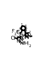 Cn1cc(-c2ccccc2C(Oc2cc(Cl)nc(N)n2)C(F)(F)F)cn1